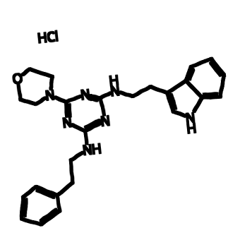 Cl.c1ccc(CCNc2nc(NCCc3c[nH]c4ccccc34)nc(N3CCOCC3)n2)cc1